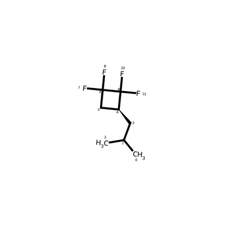 CC(C)C[C@H]1CC(F)(F)C1(F)F